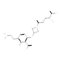 N[C@@H](CCC(=O)N1CC(Oc2ccc(CCB(O)O)c(O)c2C(=O)O)C1)C(=O)O